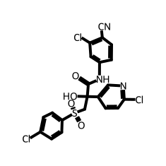 N#Cc1ccc(NC(=O)C(O)(CS(=O)(=O)c2ccc(Cl)cc2)c2ccc(Cl)nc2)cc1Cl